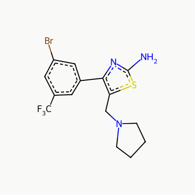 Nc1nc(-c2cc(Br)cc(C(F)(F)F)c2)c(CN2CCCC2)s1